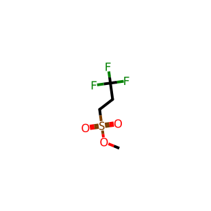 COS(=O)(=O)CCC(F)(F)F